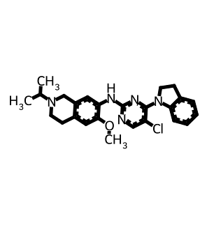 COc1cc2c(cc1Nc1ncc(Cl)c(N3CCc4ccccc43)n1)CN(C(C)C)CC2